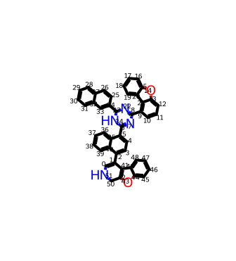 C1=C(c2ccc(C3=NC(c4cccc5oc6ccccc6c45)=NC(c4ccc5ccccc5c4)N3)c3ccccc23)c2c(oc3ccccc23)CN1